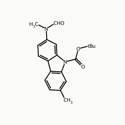 Cc1ccc2c3ccc(N(C)C=O)cc3n(C(=O)OC(C)(C)C)c2c1